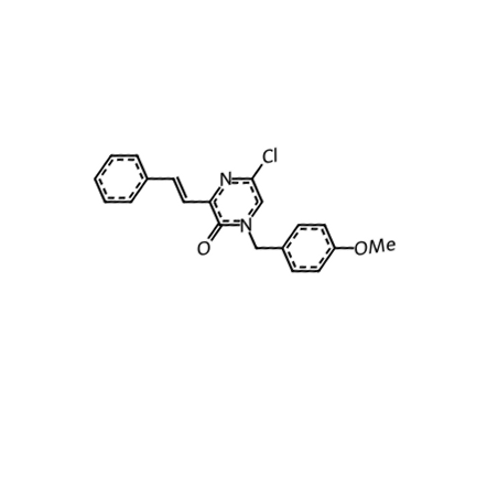 COc1ccc(Cn2cc(Cl)nc(/C=C/c3ccccc3)c2=O)cc1